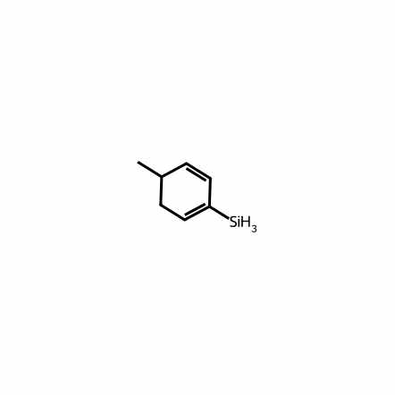 CC1C=CC([SiH3])=CC1